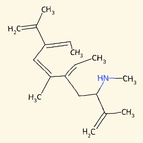 C=C(C)C(/C=C(C)\C(=C\C)CC(NC)C(=C)C)=C/C